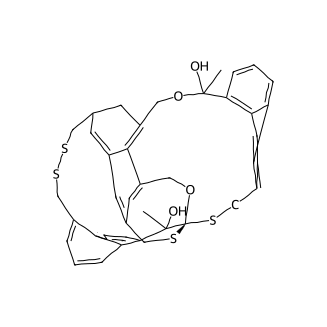 CC1(O)OCC2=c3c4cc5cc3=CC(CSSCc3cccc6c(cccc36)C(C)(O)[C@@](OC4)(SC5)SCc3ccc4c1cccc4c3)C2